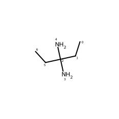 CCC(N)(N)CC